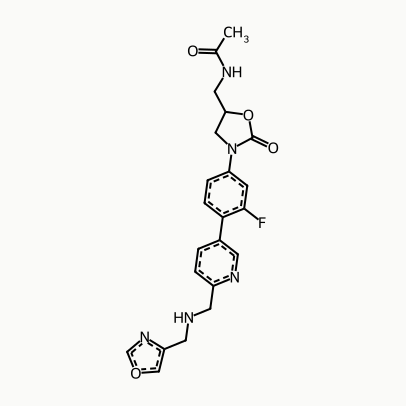 CC(=O)NCC1CN(c2ccc(-c3ccc(CNCc4cocn4)nc3)c(F)c2)C(=O)O1